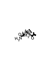 C=C(C)C(N)=O.C=CC(N)=O.CC(C)=O.CC(C)=O.CC(C)=O.CC(C)=O